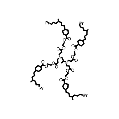 CC(C)CCCC(C)CCCC1CCC(C(=O)OCCOC(=O)CCN(CCC(=O)OCCOC(=O)C2CCC(CCCC(C)CCCC(C)C)CC2)CC(C)N(CCC(=O)OCCOC(=O)C2CCC(CCCC(C)CCCC(C)C)CC2)CCC(=O)OCCOC(=O)C2CCC(CCCC(C)CCCC(C)C)CC2)CC1